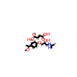 COC(C)c1ccc(OCC(O)CNC(C)C)cc1.O=C(O)C=CC(=O)O